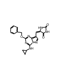 O=C1NC(=O)/C(=C\c2cnn3c(NC4CC4)nc(OCc4ccccc4)nc23)N1